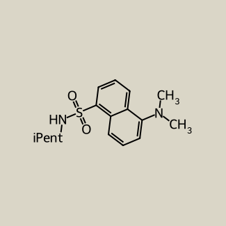 [CH2]CCC([CH2])NS(=O)(=O)c1cccc2c(N(C)C)cccc12